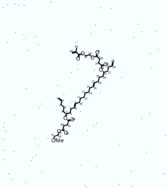 C=CCCCC(CCC=CCCCCCCC=CCCCC(CCC=C)OC(=O)CCC(=O)OCCOC(=O)C(=C)C)OC(=O)CCC(=O)OCCOC